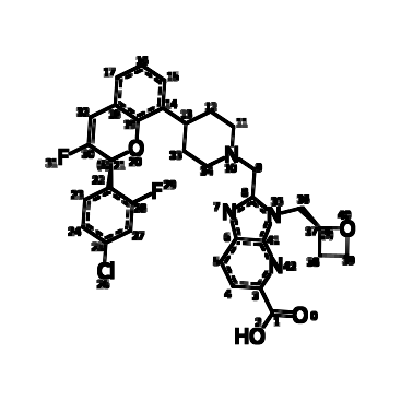 O=C(O)c1ccc2nc(CN3CCC(c4cccc5c4O[C@@H](c4ccc(Cl)cc4F)C(F)=C5)CC3)n(C[C@@H]3CCO3)c2n1